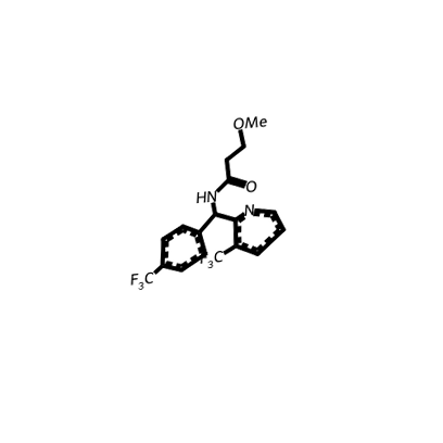 COCCC(=O)NC(c1ccc(C(F)(F)F)cc1)c1ncccc1C(F)(F)F